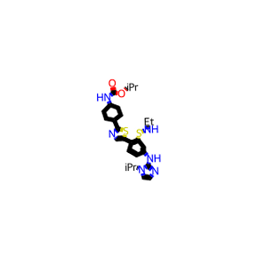 CCNSc1cc(Nc2nccn2C(C)C)ccc1-c1cnc(C2CCC(NC(=O)OC(C)C)CC2)s1